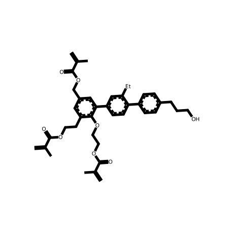 C=C(C)C(=O)OCCOc1c(CCOC(=O)C(=C)C)cc(COC(=O)C(=C)C)cc1-c1ccc(-c2ccc(CCCO)cc2)c(CC)c1